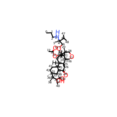 CCCN[C@@](C)(CO[C@H]1[C@H](OC(C)=O)C[C@@]23COC[C@]1(C)[C@@H]2CC[C@H]1C3=CC(=O)[C@@]2(C)[C@H](C(=O)O)[C@@](C)([C@H](C)C(C)C)CC[C@]12C)C(C)C